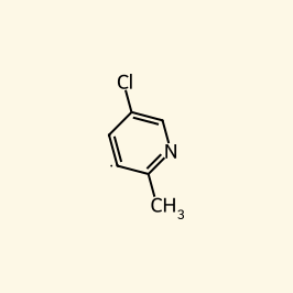 Cc1[c]cc(Cl)cn1